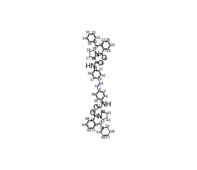 O=C(Nc1ccc(/C=C/c2ccc(NC(=O)[C@@H]3CCCN3C(=O)c3ccccc3Cc3ccccc3)cc2)cc1)[C@@H]1CCCN1C(=O)c1ccccc1CC1=CC=CCC1